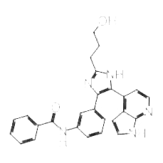 O=C(Nc1cccc(-c2nc(CCCO)[nH]c2-c2ccnc3[nH]ccc23)c1)c1ccccc1